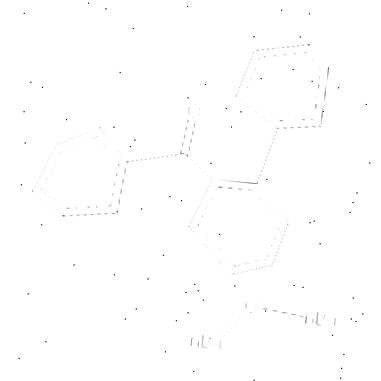 CCCCOCCCC.O=C(c1ccccc1)c1ccccc1-c1ccccc1